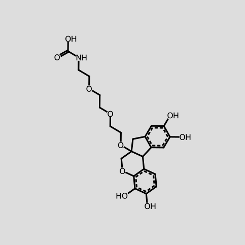 O=C(O)NCCOCCOCCOC12COc3c(ccc(O)c3O)C1c1cc(O)c(O)cc1C2